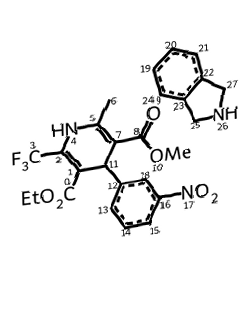 CCOC(=O)C1=C(C(F)(F)F)NC(C)=C(C(=O)OC)C1c1cccc([N+](=O)[O-])c1.c1ccc2c(c1)CNC2